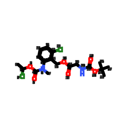 CC(Cl)OC(=O)N(C)c1cccc(Cl)c1COC(=O)CNC(=O)OC(C)(C)C